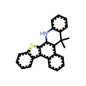 CC1(C)c2ccccc2Nc2c1c1ccccc1c1c2sc2ccccc21